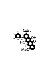 CCC(=O)[C@@H]1Cc2c(O)c3c(c(O)c2[C@@H](O[C@H]2C[C@H](C)[C@@H](C)[C@H](C)O2)C1)C(=O)c1c(OC)cccc1C3=O